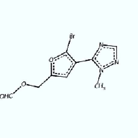 Cn1ncnc1-c1cc(COC=O)oc1Br